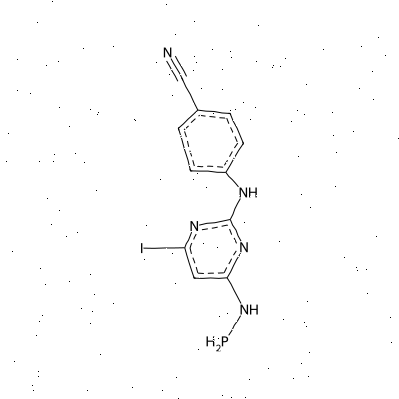 N#Cc1ccc(Nc2nc(I)cc(NP)n2)cc1